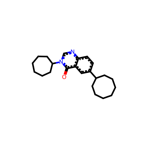 O=c1c2cc(C3CCCCCCC3)ccc2ncn1C1CCCCCC1